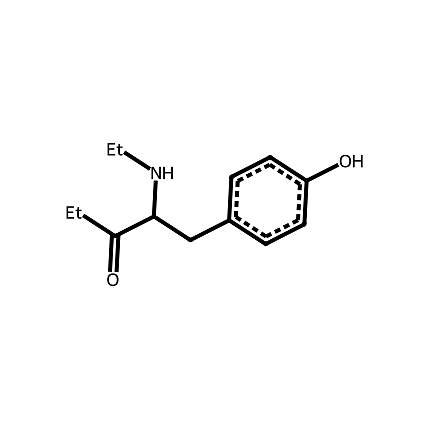 CCNC(Cc1ccc(O)cc1)C(=O)CC